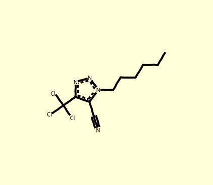 CCCCCCn1nnc(C(Cl)(Cl)Cl)c1C#N